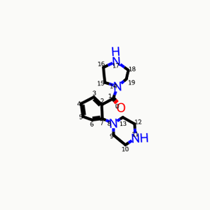 O=C(c1ccccc1N1CCNCC1)N1CCNCC1